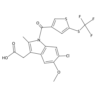 COc1cc2c(CC(=O)O)c(C)n(C(=O)c3csc(SC(F)(F)F)c3)c2cc1Cl